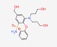 NS(=O)(=O)c1cc(CO)cc(N(CCCO)CCCO)c1Oc1ccccc1